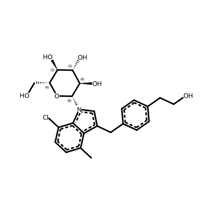 Cc1ccc(Cl)c2c1c(Cc1ccc(CCO)cc1)cn2[C@@H]1O[C@H](CO)[C@@H](O)[C@H](O)[C@H]1O